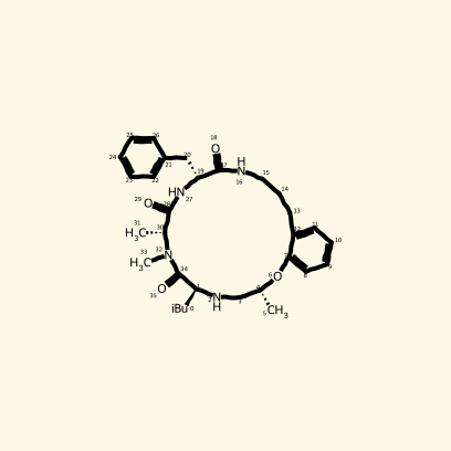 CCC(C)[C@@H]1NC[C@@H](C)Oc2ccccc2CCCNC(=O)[C@@H](Cc2ccccc2)NC(=O)[C@@H](C)N(C)C1=O